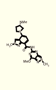 CN[C@H]1CCN(c2ccc(C(=O)Nc3nc(OC)c4nn(C)cc4n3)c3nn(C)cc23)C1